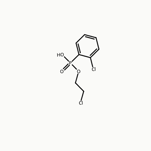 O=P(O)(OCCCl)c1ccccc1Cl